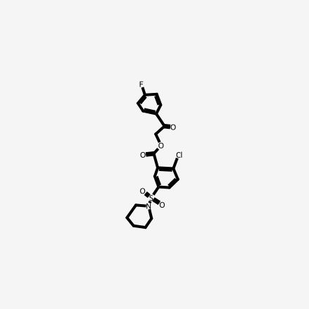 O=C(COC(=O)c1cc(S(=O)(=O)N2CCCCC2)ccc1Cl)c1ccc(F)cc1